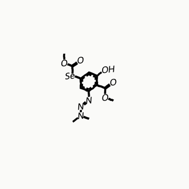 COC(=O)[Se]c1cc(O)c(C(=O)OC)c(N=NN(C)C)c1